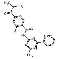 Cc1nc(NC(=O)c2ccc(C(=O)N(C)C)cc2Cl)nc(-c2ccccn2)n1